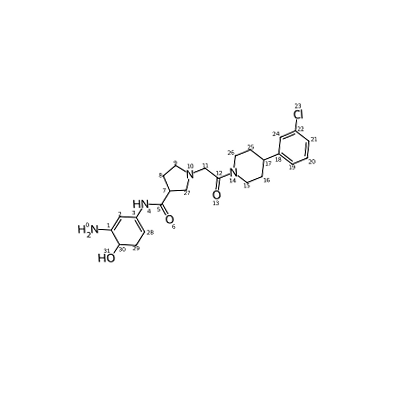 NC1=CC(NC(=O)C2CCN(CC(=O)N3CCC(c4cccc(Cl)c4)CC3)C2)=CCC1O